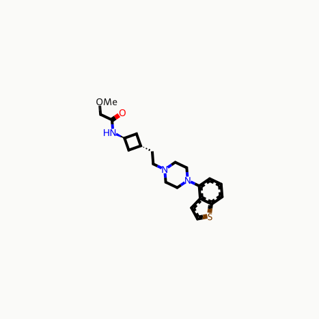 COCC(=O)N[C@H]1C[C@H](CCN2CCN(c3cccc4sccc34)CC2)C1